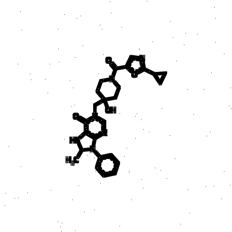 CC1Nc2c(ncn(CC3(O)CCN(C(=O)c4cnc(C5CC5)o4)CC3)c2=O)N1c1ccccc1